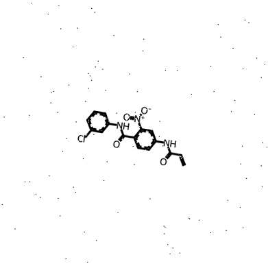 C=CC(=O)Nc1ccc(C(=O)Nc2cccc(Cl)c2)c([N+](=O)[O-])c1